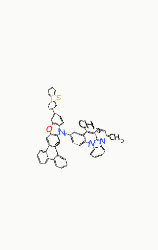 C=C/C=C\c1c(C)c2cc(N3c4ccc(-c5ccc6c(c5)sc5ccccc56)cc4Oc4cc5c6ccccc6c6ccccc6c5cc43)ccc2n2c1nc1ccccc12